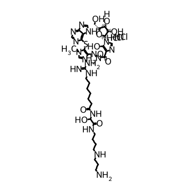 Cl.Cl.Cl.Cn1cnc([N+](=O)[O-])c1Sc1ncnc2nc[nH]c12.N=C(N)NCCCCCCC(=O)NC(O)C(=O)NCCCCNCCCN.NC(=O)c1ncn([C@@H]2O[C@H](CO)[C@@H](O)[C@H]2O)c1O